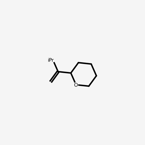 C=C(C(C)C)C1CCCCO1